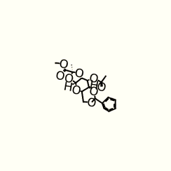 COC(=O)[C@@]1(C)OC2[C@H](OC3COC(c4ccccc4)O[C@H]3[C@@H]2OC(C)=O)O1